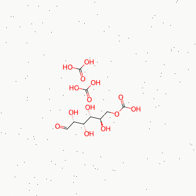 O=C(O)O.O=C(O)O.O=C[C@H](O)[C@@H](O)[C@H](O)[C@H](O)COC(=O)O